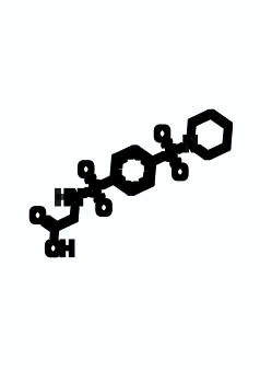 O=C(O)CNS(=O)(=O)c1ccc(S(=O)(=O)N2CCCCC2)cc1